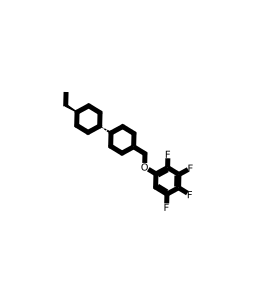 CC[C@H]1CC[C@H](C2CCC(COc3cc(F)c(F)c(F)c3F)CC2)CC1